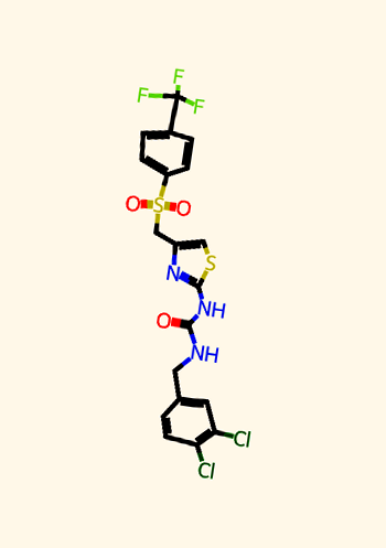 O=C(NCc1ccc(Cl)c(Cl)c1)Nc1nc(CS(=O)(=O)c2ccc(C(F)(F)F)cc2)cs1